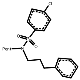 CCCC(C)N(CCCc1ccccc1)S(=O)(=O)c1ccc(Cl)cc1